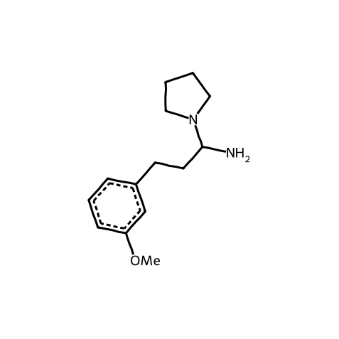 COc1cccc(CCC(N)N2CCCC2)c1